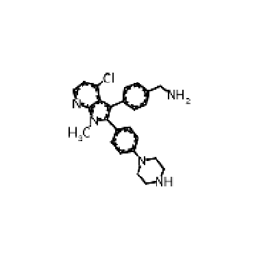 Cn1c(-c2ccc(N3CCNCC3)cc2)c(-c2ccc(CN)cc2)c2c(Cl)ccnc21